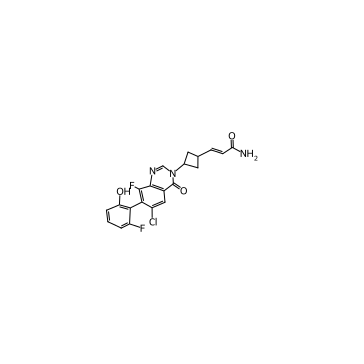 NC(=O)C=CC1CC(n2cnc3c(F)c(-c4c(O)cccc4F)c(Cl)cc3c2=O)C1